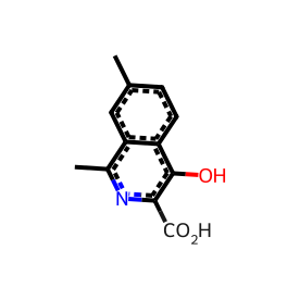 Cc1ccc2c(O)c(C(=O)O)nc(C)c2c1